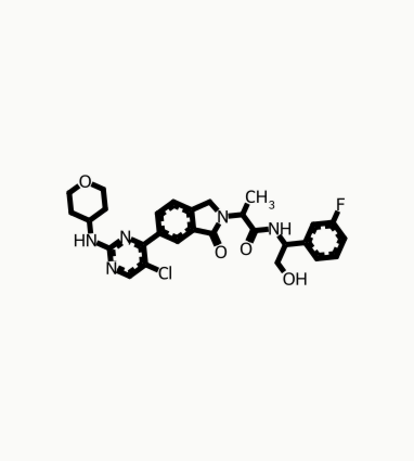 CC(C(=O)NC(CO)c1cccc(F)c1)N1Cc2ccc(-c3nc(NC4CCOCC4)ncc3Cl)cc2C1=O